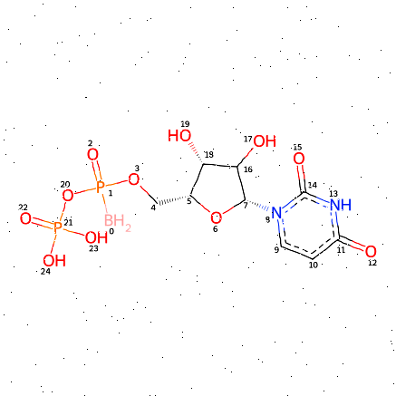 BP(=O)(OC[C@H]1O[C@@H](n2ccc(=O)[nH]c2=O)C(O)[C@H]1O)OP(=O)(O)O